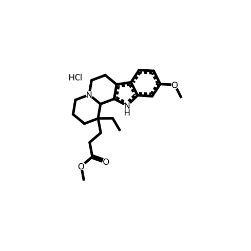 CCC1(CCC(=O)OC)CCCN2CCc3c([nH]c4cc(OC)ccc34)C21.Cl